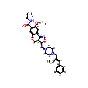 CCNC(=O)c1cc2c(cc1OC)C1=NOC(CN3CCN(C/C(C)=C/c4ccccc4)CC3)C1CO2